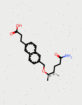 C[C@@H](CCC(N)=O)[C@@H](C)OCc1ccc2cc(CCC(=O)O)ccc2c1